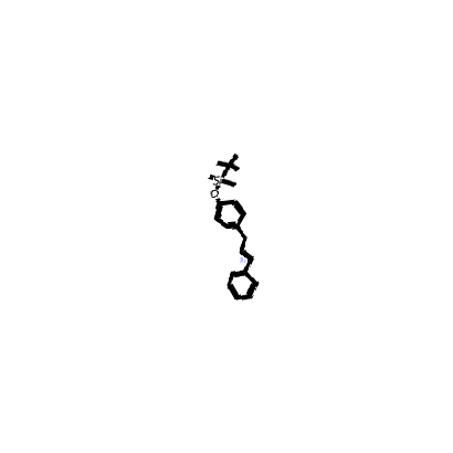 CC(C)(C)[Si](C)(C)Oc1ccc(C/C=C/c2ccccc2)cc1